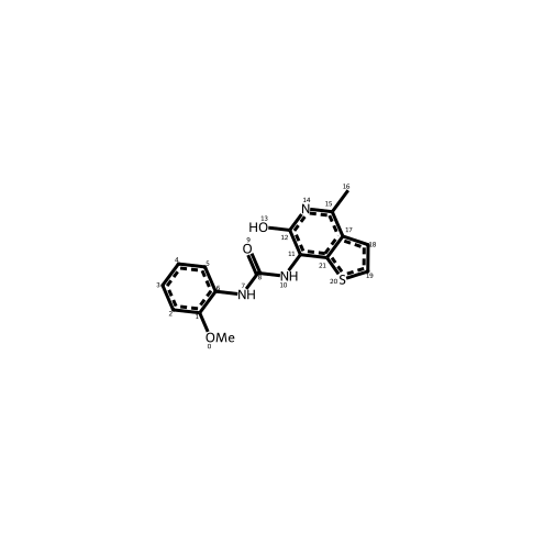 COc1ccccc1NC(=O)Nc1c(O)nc(C)c2ccsc12